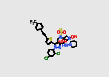 O=C(NN1CCCCC1)c1nn(-c2ccc(Cl)cc2Cl)c(-c2ccc(C#Cc3ccc(C(F)(F)F)cc3)s2)c1CN([SH](=O)=O)C1(O)CN(O)C1